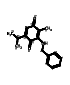 CC1=C(NCc2ccccc2)C(=O)C(C(C)C)=CC1=O